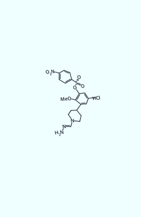 COc1c(OS(=O)(=O)c2ccc([N+](=O)[O-])cc2)cc(C)cc1C1CCN(C=NN)CC1.Cl